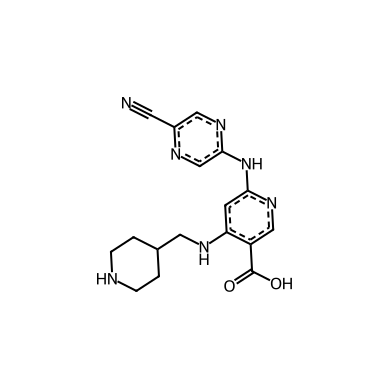 N#Cc1cnc(Nc2cc(NCC3CCNCC3)c(C(=O)O)cn2)cn1